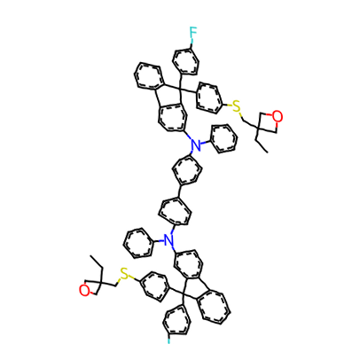 CCC1(CSc2ccc(C3(c4ccc(F)cc4)c4ccccc4-c4ccc(N(c5ccccc5)c5ccc(-c6ccc(N(c7ccccc7)c7ccc8c(c7)C(c7ccc(F)cc7)(c7ccc(SCC9(CC)COC9)cc7)c7ccccc7-8)cc6)cc5)cc43)cc2)COC1